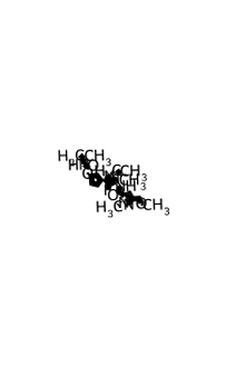 COCc1cc(C(=O)Nc2c(F)c([C@H]3CC[C@@H](OC(=O)NC(C)C)C3)nn2C(C)(C)C)n(C)n1